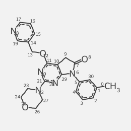 Cc1cccc(N2C(=O)Cc3c(OCc4cccnc4)nc(N4CCOCC4)nc32)c1